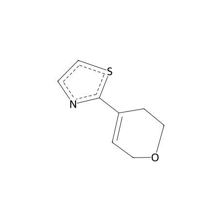 C1=C(c2nccs2)CCOC1